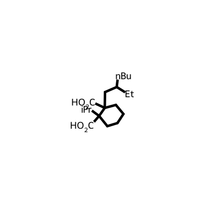 CCCCC(CC)CC1(C(=O)O)CCCCC1(C(=O)O)C(C)C